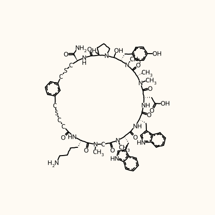 C[C@H]1C(=O)N(C)[C@@H](Cc2ccc(O)cc2)C(O)N2CCC[C@H]2C(=O)N[C@H](C(N)=O)CSCc2cccc(c2)CSCCC(=O)N[C@@H](CCCCN)C(=O)N(C)CC(=O)N(C)[C@@H](Cc2c[nH]c3ccccc23)C(=O)N[C@@H](Cc2c[nH]c3ccccc23)C(=O)N[C@@H](CC(=O)O)C(=O)N1C